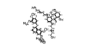 COc1ccc(Cc2nccc3cc(OC)c(OC)cc23)cc1OC.Cl.Cl.Cl.O=C1c2c(O)ccc(O)c2C(=O)c2c(NCCNCCO)ccc(NCCNCCO)c21